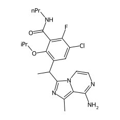 CCCNC(=O)c1c(F)c(Cl)cc(C(C)c2nc(C)c3c(N)nccn23)c1OC(C)C